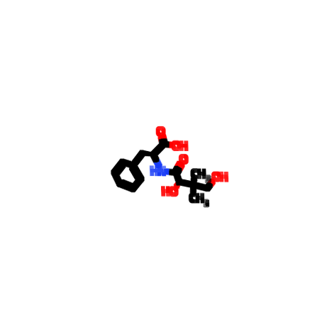 CC(C)(CO)[C@@H](O)C(=O)N[C@@H](Cc1ccccc1)C(=O)O